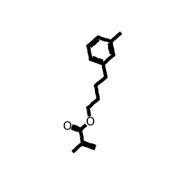 C=C(C)C(=O)OCCCCc1cccc(C)c1